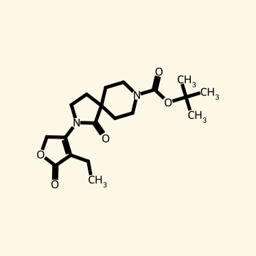 CCC1=C(N2CCC3(CCN(C(=O)OC(C)(C)C)CC3)C2=O)COC1=O